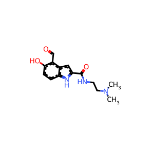 CN(C)CCNC(=O)c1cc2c(C=O)c(O)ccc2[nH]1